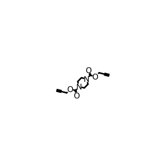 C#CCOC(=O)N1CCN(C(=O)OCC#C)CC1